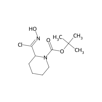 CC(C)(C)OC(=O)N1CCCCC1C(Cl)=NO